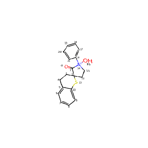 O=C1C2(CCc3ccccc3S2)CC[N+]1(O)c1ccccc1